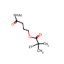 CCC(C)(C)C(=O)OCCCC(=O)NC(C)=O